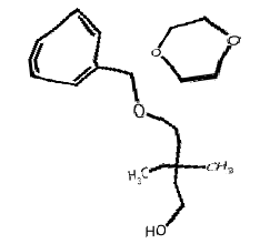 C1COCCO1.CC(C)(CO)COCc1ccccc1